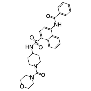 O=C(Nc1ccc(S(=O)(=O)NC2CCN(C(=O)N3CCOCC3)CC2)c2ccccc12)c1ccccc1